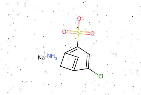 N.O=S(=O)([O-])c1cc(Cl)c2cc1C2.[Na+]